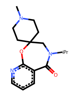 CC(C)N1CC2(CCN(C)CC2)Oc2ncccc2C1=O